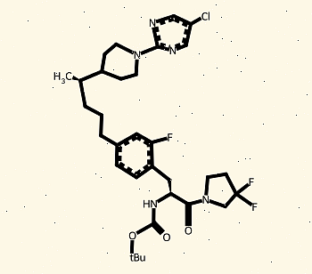 C[C@H](CCCc1ccc(C[C@H](NC(=O)OC(C)(C)C)C(=O)N2CCC(F)(F)C2)c(F)c1)C1CCN(c2ncc(Cl)cn2)CC1